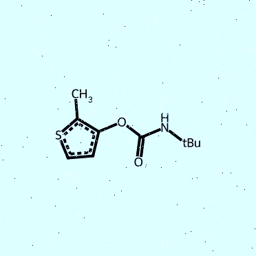 Cc1sccc1OC(=O)NC(C)(C)C